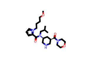 COCCCCn1cccc1C(=O)N(CC(C)C)[C@@H]1CNC[C@H](C(=O)N2CCOCC2)C1